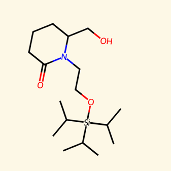 CC(C)[Si](OCCN1C(=O)CCCC1CO)(C(C)C)C(C)C